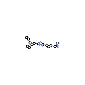 Cn1cnc2ccc(-c3ccc4c(ccc5cc(-c6cnc7c(ccc8cc(-c9ccc%10c(c9)cc(-c9cccc%11ccccc9%11)c9ccc(-c%11ccc%12ccccc%12c%11)cc9%10)cnc87)c6)ccc54)c3)cc21